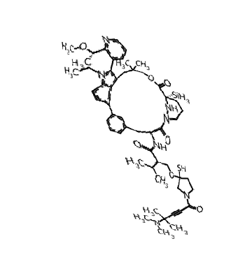 CCn1c(-c2cccnc2[C@H](C)OC)c2c3cc(ccc31)-c1cccc(c1)C[C@H](NC(=O)[C@@H](COC1(S)CCN(C(=O)C#CC(C)(C)N(C)C)C1)C(C)C)C(=O)N1CCC[C@@]([SiH3])(N1)C(=O)OCC(C)(C)C2